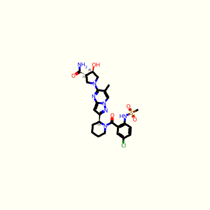 Cc1cn2nc([C@@H]3CCCCN3C(=O)c3cc(Cl)ccc3NS(C)(=O)=O)cc2nc1N1C[C@H](C(N)=O)[C@@H](O)C1